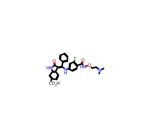 CN(C)CCONC(=O)c1ccc(NC(=C2C(=O)Nc3cc(C(=O)O)ccc32)c2ccccc2)cc1F